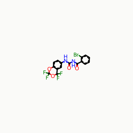 O=C(NC(=O)c1ccccc1Br)Nc1ccc2c(c1)C(F)(F)OC(F)(F)O2